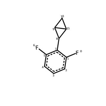 Fc1cccc(F)c1C1C2CC21